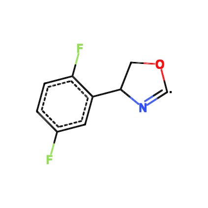 Fc1ccc(F)c(C2CO[C]=N2)c1